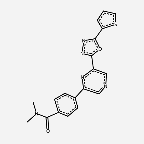 CN(C)C(=O)c1ccc(-c2cncc(-c3nnc(-c4cccs4)o3)n2)cc1